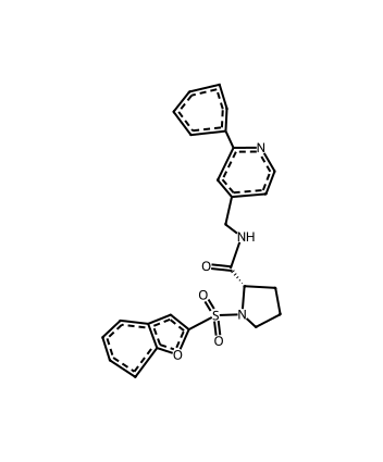 O=C(NCc1ccnc(-c2ccccc2)c1)[C@@H]1CCCN1S(=O)(=O)c1cc2ccccc2o1